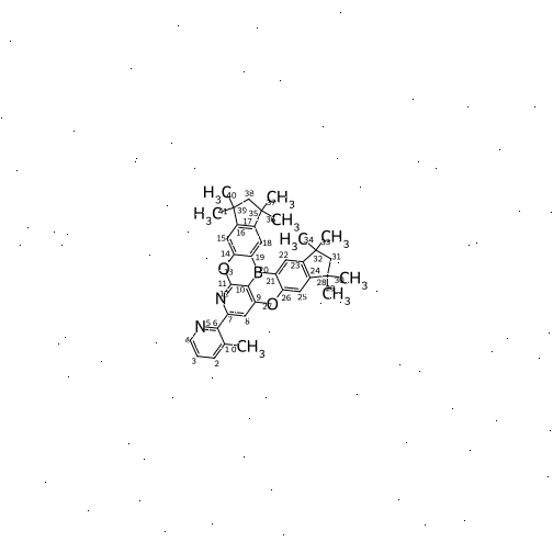 Cc1cccnc1-c1cc2c3c(n1)Oc1cc4c(cc1B3c1cc3c(cc1O2)C(C)(C)CC3(C)C)C(C)(C)CC4(C)C